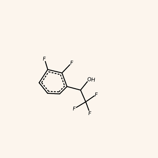 OC(c1cccc(F)c1F)C(F)(F)F